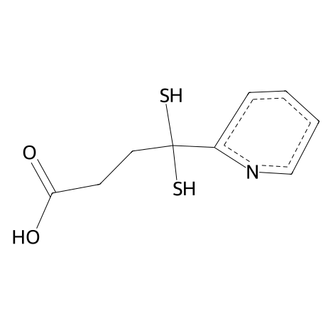 O=C(O)CCC(S)(S)c1ccccn1